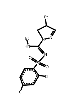 CCN/C(=N\S(=O)(=O)c1ccc(Cl)cc1Cl)N1CC(CC)C=N1